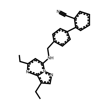 CCc1cc(NCc2ccc(-c3ccccc3C#N)cc2)n2ncc(CC)c2n1